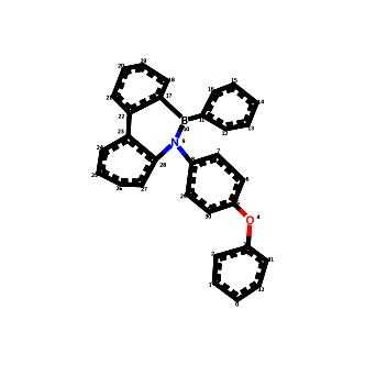 c1ccc(Oc2ccc(N3B(c4ccccc4)c4ccccc4-c4ccccc43)cc2)cc1